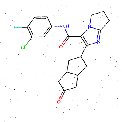 O=C1CC2CC(c3nc4n(c3C(=O)Nc3ccc(F)c(Cl)c3)CCC4)CC2C1